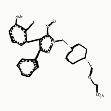 CCSc1c(-c2cccc(OC)c2F)c(-c2ccccc2)nn1C[C@H]1CC[C@@H](COCC(=O)O)CC1